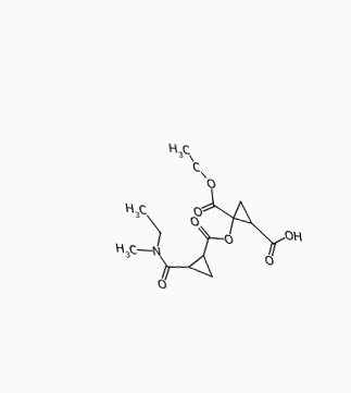 CCOC(=O)C1(OC(=O)C2CC2C(=O)N(C)CC)CC1C(=O)O